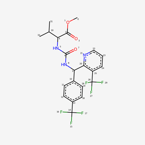 COC(=O)C(NC(=O)NC(c1ccc(C(F)(F)F)cc1)c1ncccc1C(F)(F)F)C(C)C